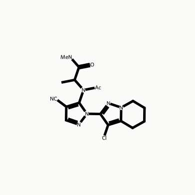 CNC(=O)C(C)N(C(C)=O)c1c(C#N)cnn1-c1nn2c(c1Cl)CCCC2